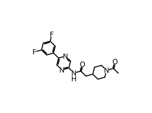 CC(=O)N1CCC(CC(=O)Nc2cnc(-c3cc(F)cc(F)c3)cn2)CC1